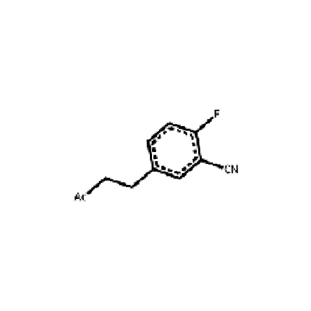 CC(=O)CCc1ccc(F)c(C#N)c1